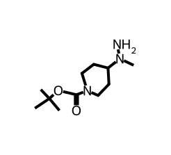 CN(N)C1CCN(C(=O)OC(C)(C)C)CC1